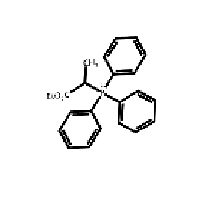 CCOC(=O)C(C)[PH](c1ccccc1)(c1ccccc1)c1ccccc1